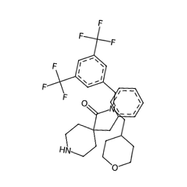 O=C(N(Cc1cc(C(F)(F)F)cc(C(F)(F)F)c1)CC1CCOCC1)C1(Cc2ccccc2)CCNCC1